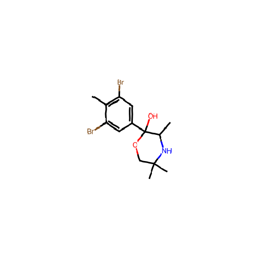 Cc1c(Br)cc(C2(O)OCC(C)(C)NC2C)cc1Br